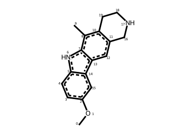 COc1ccc2[nH]c3c(C)c4c(cc3c2c1)CNCC4